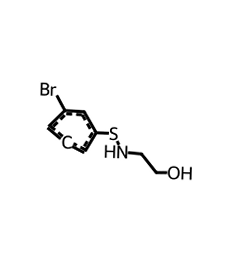 OCCNSc1cccc(Br)c1